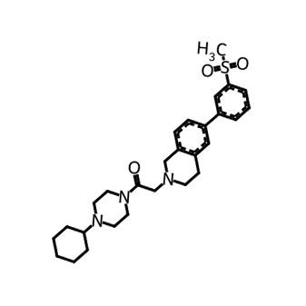 CS(=O)(=O)c1cccc(-c2ccc3c(c2)CCN(CC(=O)N2CCN(C4CCCCC4)CC2)C3)c1